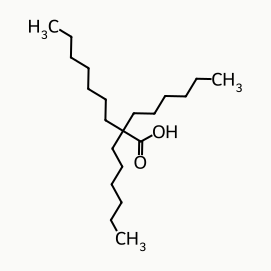 CCCCCCCC(CCCCCC)(CCCCCC)C(=O)O